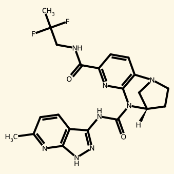 Cc1ccc2c(NC(=O)N3c4nc(C(=O)NCC(C)(F)F)ccc4N4CC[C@H]3C4)n[nH]c2n1